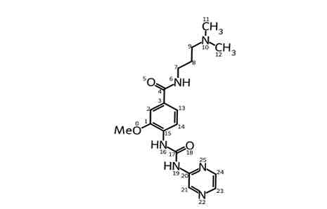 COc1cc(C(=O)NCCCN(C)C)ccc1NC(=O)Nc1cnccn1